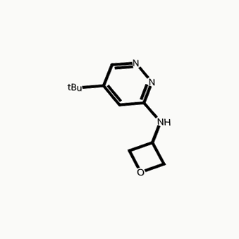 CC(C)(C)c1cnnc(NC2COC2)c1